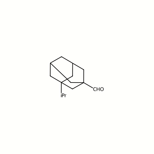 CC(C)C12CC3CC(CC(C=O)(C3)C1)C2